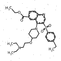 CCOC(=O)c1ccc2ncc(S(=O)(=O)c3ccc(CC)cc3)c(N3CCC(OCCN(CC)CC)CC3)c2c1